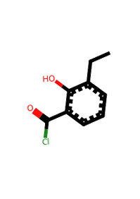 CCc1cccc(C(=O)Cl)c1O